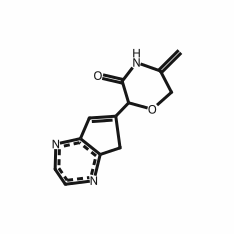 C=C1COC(C2=Cc3nccnc3C2)C(=O)N1